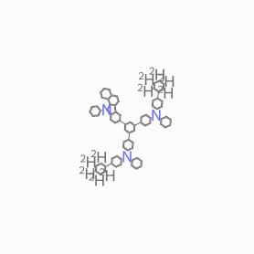 [2H]c1c([2H])c([2H])c(-c2ccc(N(c3ccccc3)c3ccc(-c4cc(-c5ccc(N(c6ccccc6)c6ccc(-c7c([2H])c([2H])c([2H])c([2H])c7[2H])cc6)cc5)cc(-c5ccc6c(c5)c5ccc7ccccc7c5n6-c5ccccc5)c4)cc3)cc2)c([2H])c1[2H]